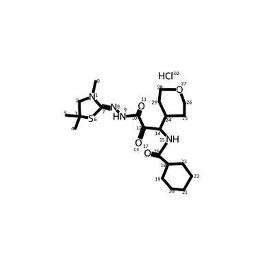 CN1CC(C)(C)SC1=NNC(=O)C(=O)C(NC(=O)C1CCCCC1)C1CCOCC1.Cl